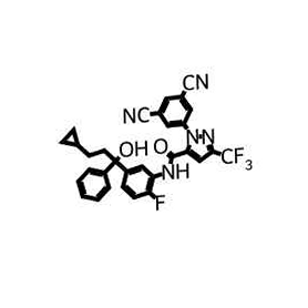 N#Cc1cc(C#N)cc(-n2nc(C(F)(F)F)cc2C(=O)Nc2cc(C(O)(CCC3CC3)c3ccccc3)ccc2F)c1